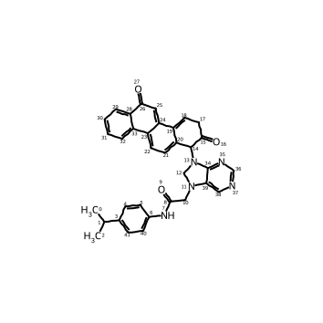 CC(C)c1ccc(NC(=O)CN2CN(C3C(=O)CC=c4c3ccc3c4=CC(=O)c4ccccc4-3)c3ncncc32)cc1